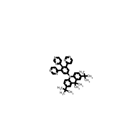 CC(C)(C)c1ccc2c(c1)C(C)(C)c1cc(C(C)(C)C)ccc1N2c1cc(-c2ccncn2)c(-c2ccncn2)c(-c2ccncn2)c1